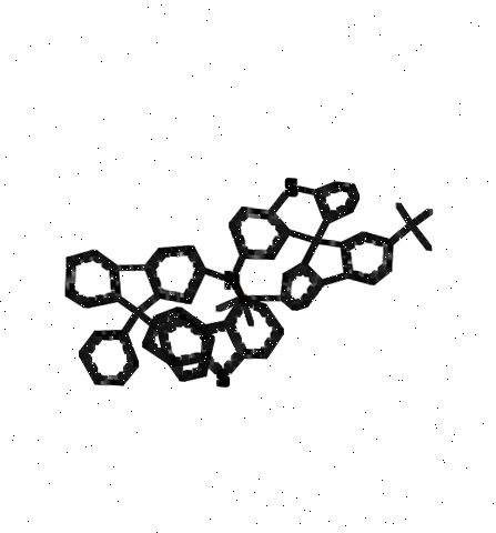 CC(C)(C)c1ccc2c(c1)C1(c3ccccc3Sc3ccc(N(c4ccc5c(c4)C(c4ccccc4)(c4ccccc4)c4ccccc4-5)c4cccc5sc6ccccc6c45)cc31)c1cc(C(C)(C)C)ccc1-2